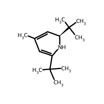 CC1=C[C@@H](C(C)(C)C)NC(C(C)(C)C)=C1